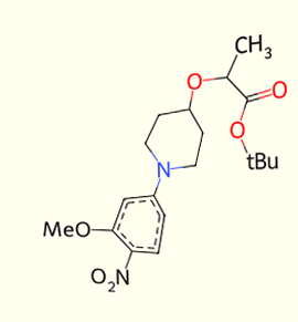 COc1cc(N2CCC(OC(C)C(=O)OC(C)(C)C)CC2)ccc1[N+](=O)[O-]